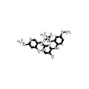 COc1ccc(Nc2nc(Nc3cnc(OC)cc3C)ncc2Cl)c(NS(C)(=O)=O)c1